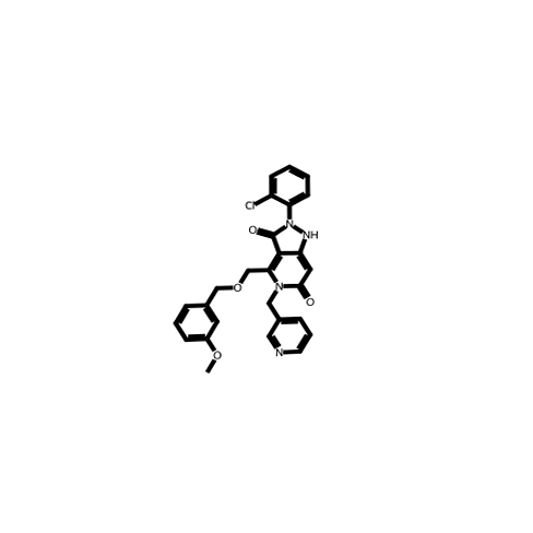 COc1cccc(COCc2c3c(=O)n(-c4ccccc4Cl)[nH]c3cc(=O)n2Cc2cccnc2)c1